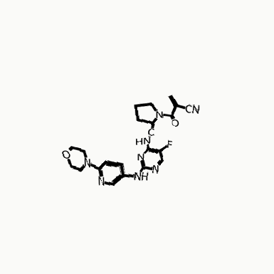 C=C(C#N)C(=O)N1CCCC1CNc1nc(Nc2ccc(N3CCOCC3)nc2)ncc1F